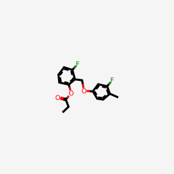 CCC(=O)Oc1cccc(F)c1COc1ccc(C)c(F)c1